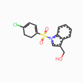 O=S(=O)(C1=CC=C(Cl)CC1)n1cc(CO)c2ccccc21